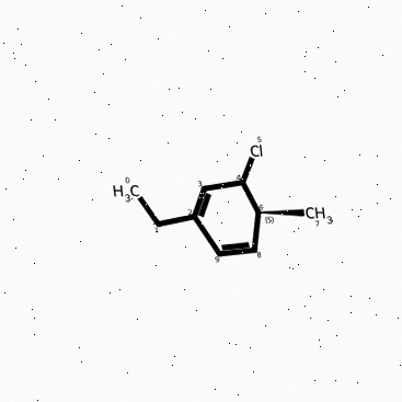 CCC1=CC(Cl)[C@@H](C)C=C1